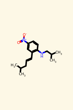 CC(C)C/C=C/c1cc([N+](=O)[O-])ccc1NCC(C)C